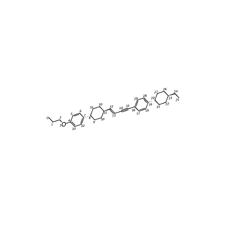 CCCOc1ccc([C@H]2CC[C@H](/C=C/C#Cc3ccc([C@H]4CC[C@H](CC)CC4)cc3)CC2)cc1